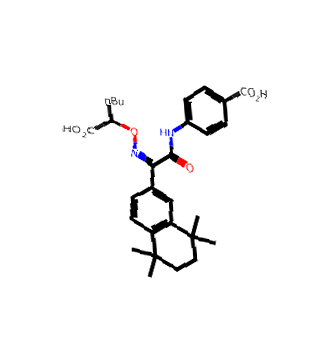 CCCCC(ON=C(C(=O)Nc1ccc(C(=O)O)cc1)c1ccc2c(c1)C(C)(C)CCC2(C)C)C(=O)O